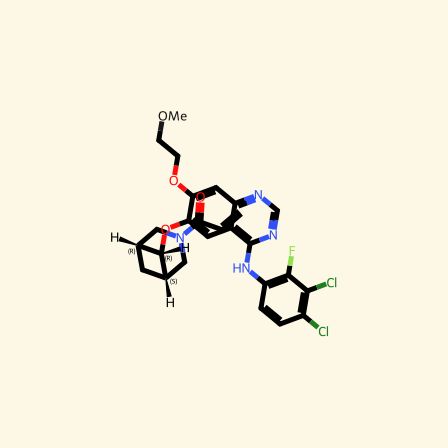 C=CC(=O)N1C[C@H]2C[C@@H](C1)[C@H]2Oc1cc2c(Nc3ccc(Cl)c(Cl)c3F)ncnc2cc1OCCOC